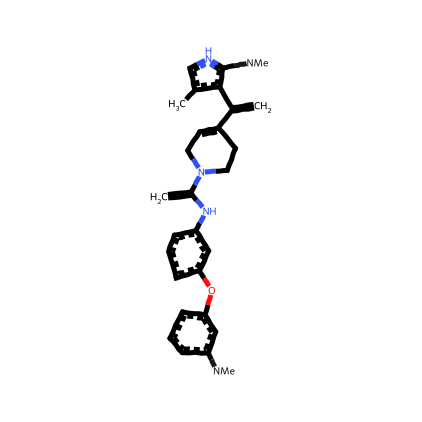 C=C(C1=CCN(C(=C)Nc2cccc(Oc3cccc(NC)c3)c2)CC1)c1c(C)c[nH]c1NC